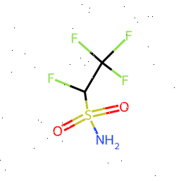 NS(=O)(=O)C(F)C(F)(F)F